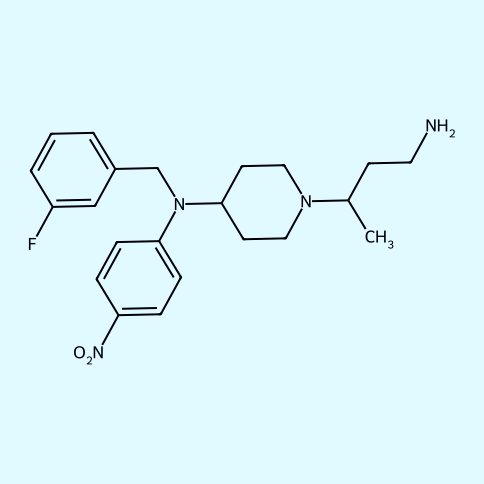 CC(CCN)N1CCC(N(Cc2cccc(F)c2)c2ccc([N+](=O)[O-])cc2)CC1